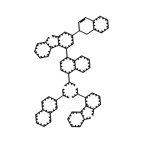 C1=CC(c2cc(-c3ccc(-c4nc(-c5ccc6ccccc6c5)nc(-c5cccc6oc7ccccc7c56)n4)c4ccccc34)c3c(c2)oc2ccccc23)Cc2ccccc21